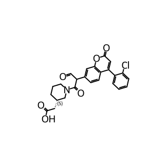 O=CC(C(=O)N1CCC[C@@H](CC(=O)O)C1)c1ccc2c(-c3ccccc3Cl)cc(=O)oc2c1